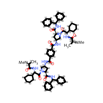 CN[C@@H](C)C(=O)N[C@H](C(=O)N1C[C@@H](NC(=O)c2ccc(C(=O)N[C@H]3C[C@@H](C(=O)NC(c4ccccc4)c4ccccc4)N(C(=O)[C@@H](NC(=O)[C@H](C)NC)C4CCCCC4)C3)cc2)C[C@H]1C(=O)NC(c1ccccc1)c1ccccc1)C1CCCCC1